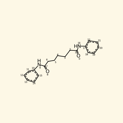 O=C(CCCCCC(=O)Nc1ccccc1)Nc1ccccc1